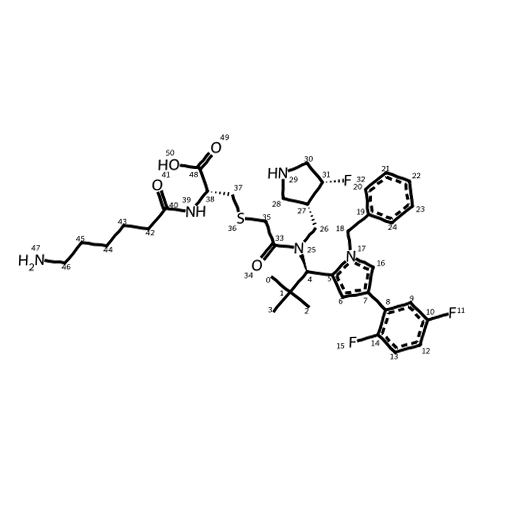 CC(C)(C)[C@H](c1cc(-c2cc(F)ccc2F)cn1Cc1ccccc1)N(C[C@@H]1CNC[C@@H]1F)C(=O)CSC[C@H](NC(=O)CCCCCN)C(=O)O